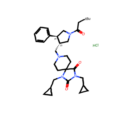 CC(C)(C)CC(=O)N1C[C@H](CN2CCC3(CC2)C(=O)N(CC2CC2)C(=O)N3CC2CC2)[C@@H](c2ccccc2)C1.Cl